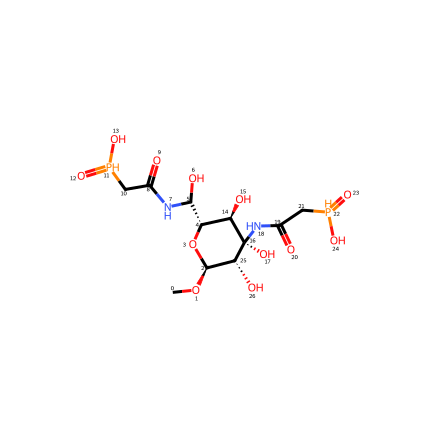 CO[C@H]1O[C@H](C(O)NC(=O)C[PH](=O)O)[C@@H](O)[C@@](O)(NC(=O)C[PH](=O)O)[C@@H]1O